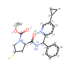 CC(C)(C)OC(=O)N1CC(F)C[C@@H]1C(=O)NC(c1ccccc1)c1ccc(C2CC2)cn1